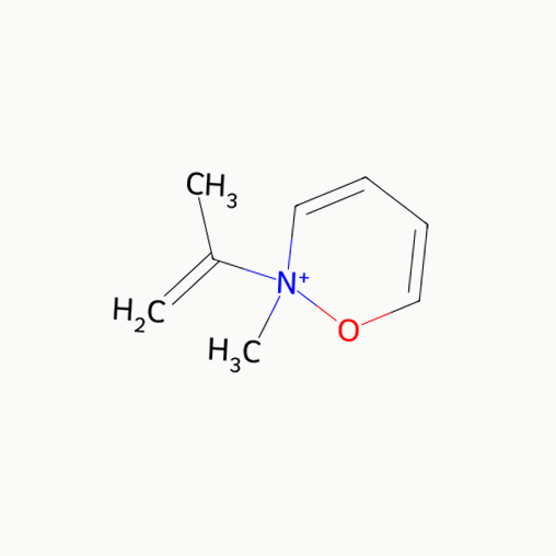 C=C(C)[N+]1(C)C=CC=CO1